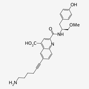 COC[C@H](Cc1ccc(O)cc1)NC(=O)c1cc(C(=O)O)c2cc(C#CCCCCN)ccc2n1